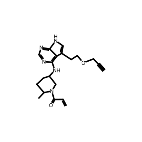 C#CCOCCc1c[nH]c2ncnc(NC3CCC(C)N(C(=O)C=C)C3)c12